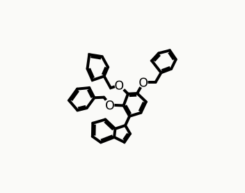 C1=CC(c2ccc(OCc3ccccc3)c(OCc3ccccc3)c2OCc2ccccc2)c2ccccc21